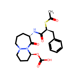 CC(=O)S[C@@H](Cc1ccccc1)C(=O)N[C@H]1CCCN2CCC[C@H](OC(=O)O)N2C1=O